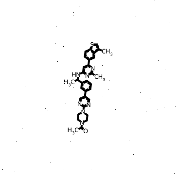 CC(=O)N1CCN(c2ncc(-c3cccc(C(C)Nc4cc(-c5ccc6scc(C)c6c5)nc(C)n4)c3)cn2)CC1